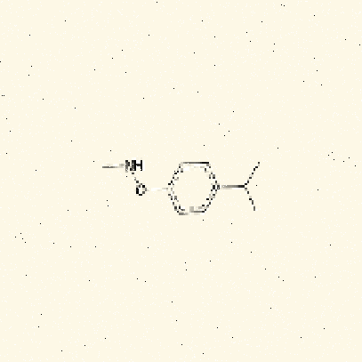 CNOc1ccc(C(C)C)cc1